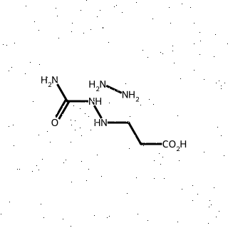 NC(=O)NNCCC(=O)O.NN